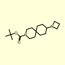 CC(C)(C)OC(=O)N1CCC2(CCC(N3CCC3)CC2)CC1